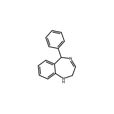 C1=NC(c2ccccc2)c2ccccc2NC1